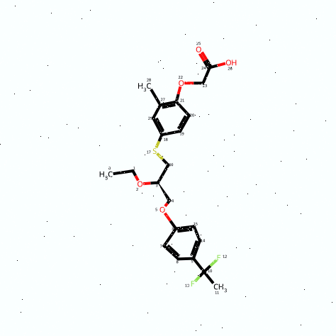 CCO[C@H](COc1ccc(C(C)(F)F)cc1)CSc1ccc(OCC(=O)O)c(C)c1